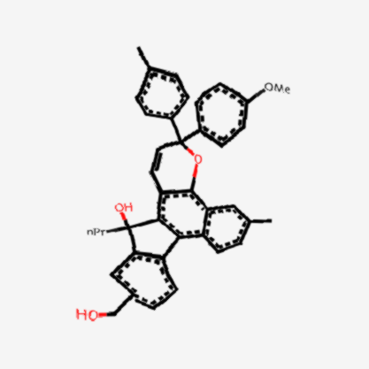 CCCC1(O)c2cc(CO)ccc2-c2c1c1c(c3cc(C)ccc23)OC(c2ccc(C)cc2)(c2ccc(OC)cc2)C=C1